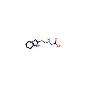 O=C(O)CNCCc1cc2ccccc2[nH]1